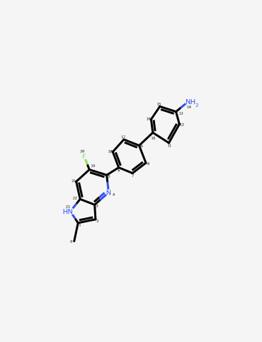 Cc1cc2nc(-c3ccc(-c4ccc(N)cc4)cc3)c(F)cc2[nH]1